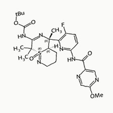 COc1cnc(C(=O)Nc2ccc(F)c([C@@]3(C)N=C(NC(=O)OC(C)(C)C)C(C)(C)[S@@]4(=O)=NCCC[C@H]34)n2)cn1